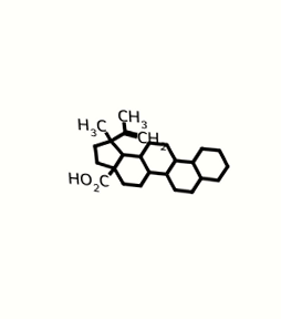 C=C(C)C1(C)CCC2(C(=O)O)CCC3C4CCC5CCCCC5C4CCC3C12